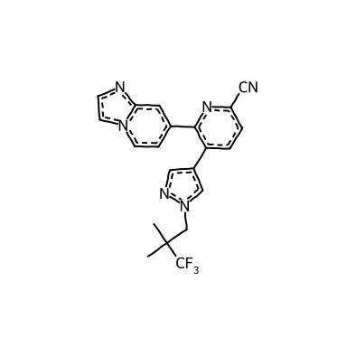 CC(C)(Cn1cc(-c2ccc(C#N)nc2-c2ccn3ccnc3c2)cn1)C(F)(F)F